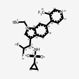 CC(C)(C)Cn1cc([C@H](NS(=O)(=O)C2CC2)C(F)F)c2ccc(-c3ccncc3C(F)(F)F)cc21